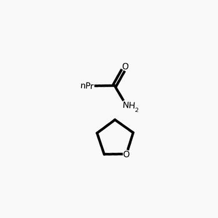 C1CCOC1.CCCC(N)=O